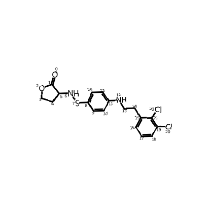 O=C1OCCC1NSc1ccc(NCCc2cccc(Cl)c2Cl)cc1